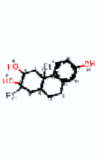 CCC12CC(O)C(O)(C(F)(F)F)CC1CCc1cc(O)ccc12